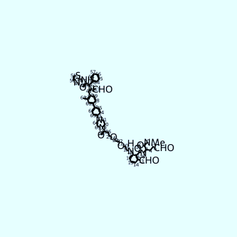 CNC(=O)C(CCC=O)N(C)C(=O)c1c(C=O)cccc1NCCOCCOCCC(=O)N1CCN(c2ccc(-c3ccc(CN(C=O)C(C(=O)Nc4nccs4)c4ccccc4)c(C)c3)cc2)CC1